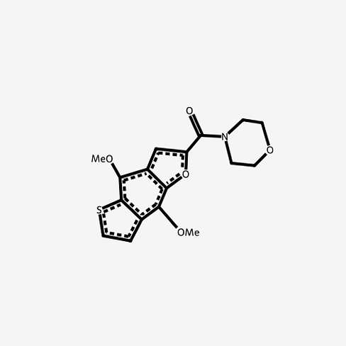 COc1c2ccsc2c(OC)c2cc(C(=O)N3CCOCC3)oc12